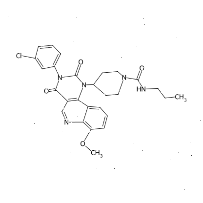 CCCNC(=O)N1CCC(n2c(=O)n(-c3cccc(Cl)c3)c(=O)c3cnc4c(OC)cccc4c32)CC1